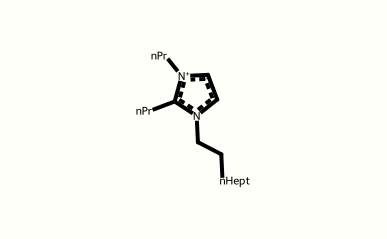 CCCCCCCCCn1cc[n+](CCC)c1CCC